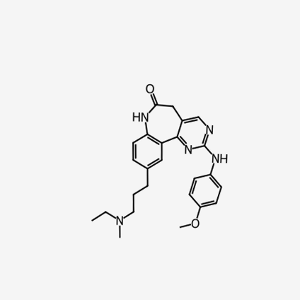 CCN(C)CCCc1ccc2c(c1)-c1nc(Nc3ccc(OC)cc3)ncc1CC(=O)N2